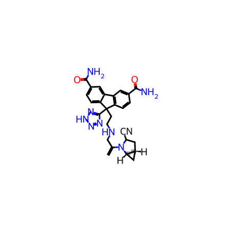 C=C(CNCCC1(c2nn[nH]n2)c2ccc(C(N)=O)cc2-c2cc(C(N)=O)ccc21)N1C(C#N)C[C@@H]2C[C@@H]21